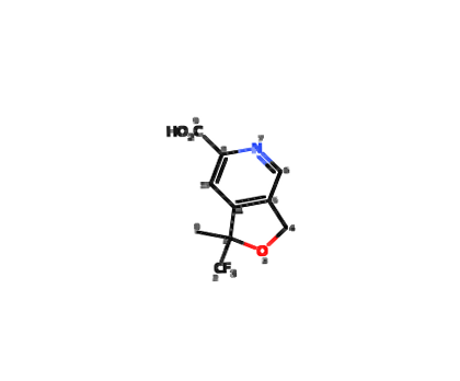 CC1(C(F)(F)F)OCc2cnc(C(=O)O)cc21